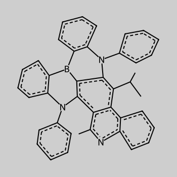 Cc1nc2ccccc2c2c(C(C)C)c3c4c(c12)N(c1ccccc1)c1ccccc1B4c1ccccc1N3c1ccccc1